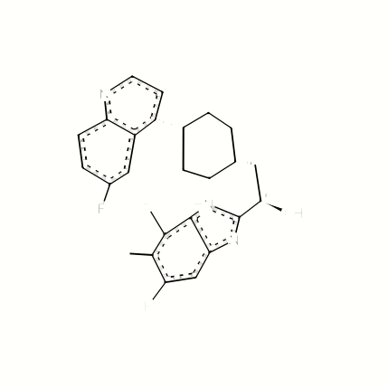 C[C@H](C[C@H]1CC[C@@H](c2ccnc3ccc(F)cc32)CC1)c1nc2cc(F)c(F)c(F)c2[nH]1